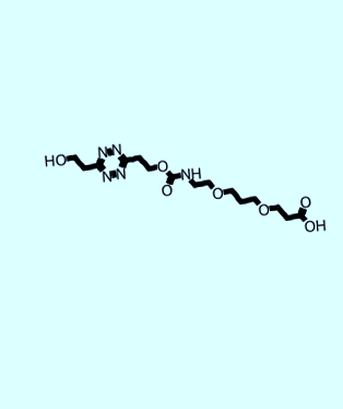 O=C(O)CCOCCCOCCNC(=O)OCCc1nnc(CCO)nn1